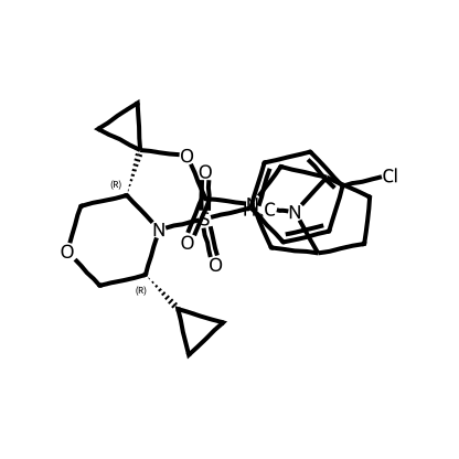 CN1C2CCC1CN(C(=O)OC1([C@H]3COC[C@@H](C4CC4)N3S(=O)(=O)c3ccc(Cl)cc3)CC1)C2